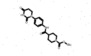 CC(C)(C)OC(=O)N1CCC(C(=O)Nc2ccc(N3CCC(=O)NC3=O)cc2)CC1